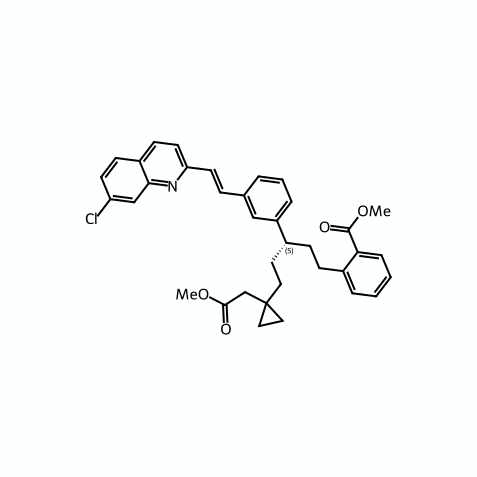 COC(=O)CC1(CC[C@@H](CCc2ccccc2C(=O)OC)c2cccc(C=Cc3ccc4ccc(Cl)cc4n3)c2)CC1